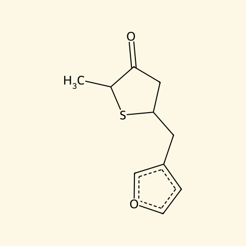 CC1SC(Cc2ccoc2)CC1=O